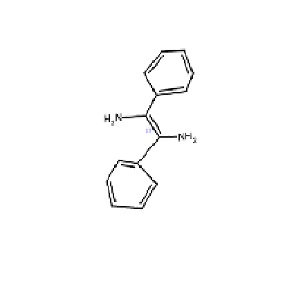 N/C(=C(/N)c1ccccc1)c1ccccc1